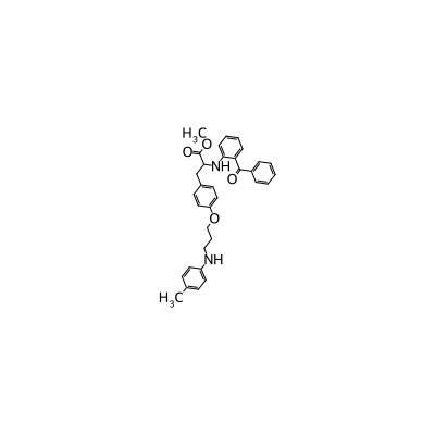 COC(=O)C(Cc1ccc(OCCCNc2ccc(C)cc2)cc1)Nc1ccccc1C(=O)c1ccccc1